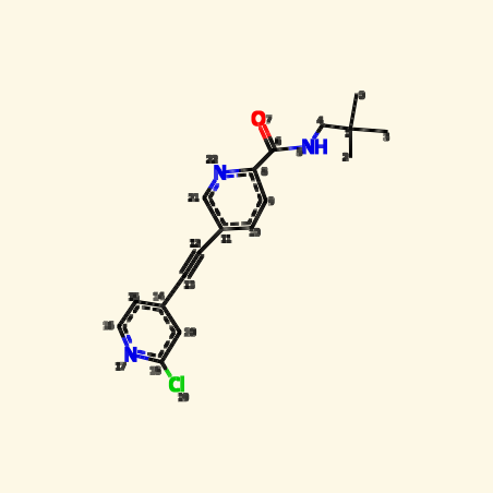 CC(C)(C)CNC(=O)c1ccc(C#Cc2ccnc(Cl)c2)cn1